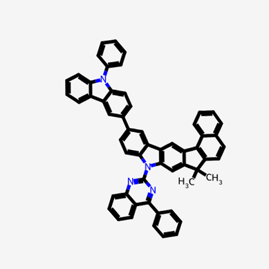 CC1(C)c2cc3c(cc2-c2c1ccc1ccccc21)c1cc(-c2ccc4c(c2)c2ccccc2n4-c2ccccc2)ccc1n3-c1nc(-c2ccccc2)c2ccccc2n1